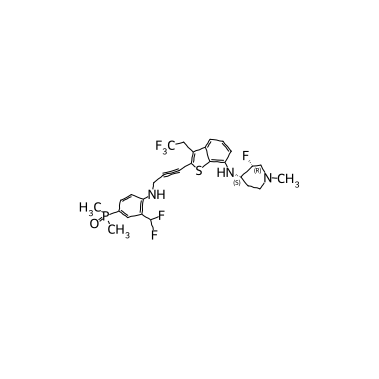 CN1CC[C@H](Nc2cccc3c(CC(F)(F)F)c(C#CCNc4ccc(P(C)(C)=O)cc4C(F)F)sc23)[C@H](F)C1